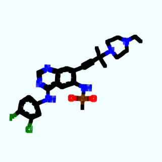 CCN1CCN(C(C)(C)C#Cc2cc3ncnc(Nc4ccc(F)c(Cl)c4)c3cc2NS(C)(=O)=O)CC1